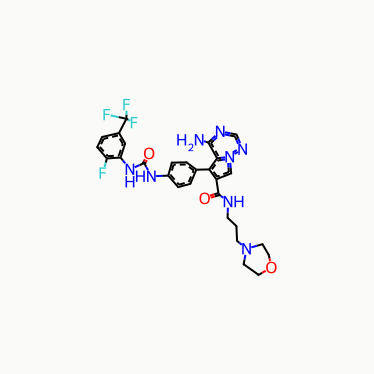 Nc1ncnn2cc(C(=O)NCCCN3CCOCC3)c(-c3ccc(NC(=O)Nc4cc(C(F)(F)F)ccc4F)cc3)c12